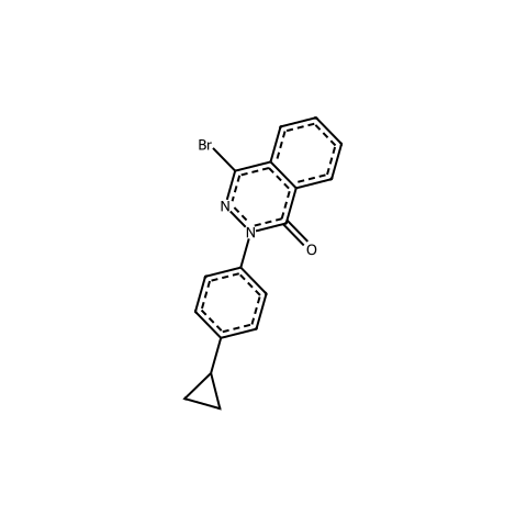 O=c1c2ccccc2c(Br)nn1-c1ccc(C2CC2)cc1